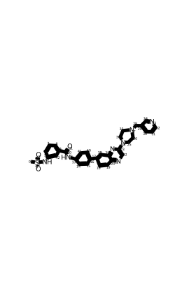 CS(=O)(=O)Nc1cccc(C(=O)Nc2ccc(-c3ccc4ncc(N5CCN(Cc6cccnc6)CC5)nc4c3)cc2)c1